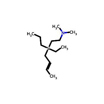 CC=CC[Si](CC)(CCC)CCN(C)C